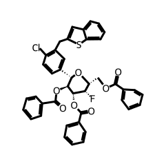 O=C(OC[C@H]1O[C@@H](c2ccc(Cl)c(Cc3cc4ccccc4s3)c2)[C@H](OC(=O)c2ccccc2)[C@@H](OC(=O)c2ccccc2)[C@H]1F)c1ccccc1